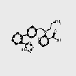 CCCN(Cc1ccc(-c2ccccc2-c2nnn[nH]2)cc1)c1ncccc1C(=O)O